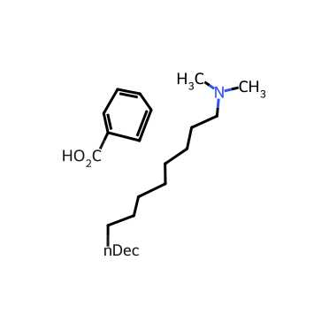 CCCCCCCCCCCCCCCCCCN(C)C.O=C(O)c1ccccc1